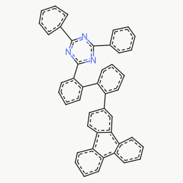 c1ccc(-c2nc(-c3ccccc3)nc(-c3ccccc3-c3ccccc3-c3ccc4c5ccccc5c5ccccc5c4c3)n2)cc1